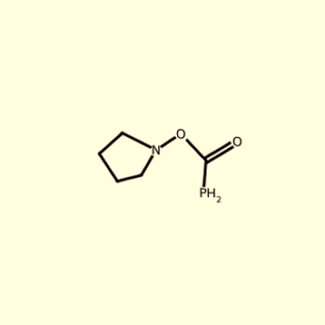 O=C(P)ON1CCCC1